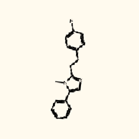 Cn1c(-c2cc[c]cc2)cnc1CCc1ccc(F)cc1